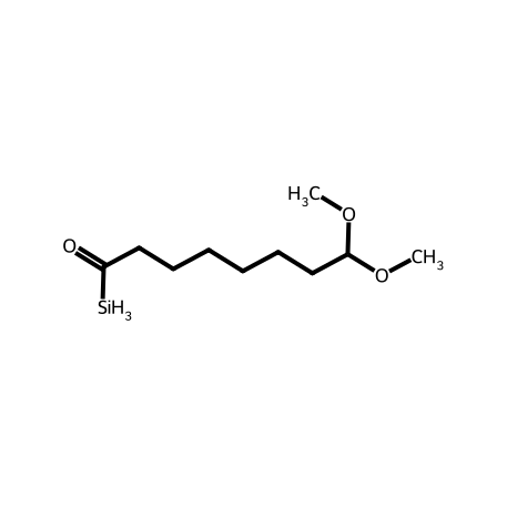 COC(CCCCCCC(=O)[SiH3])OC